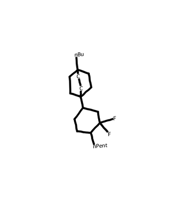 CCCCCC1CCC(C23CCC(CCCC)(CC2)CC3)CC1(F)F